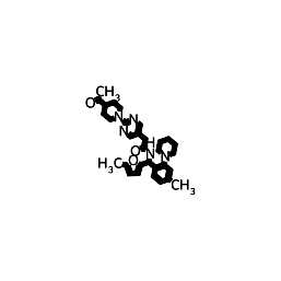 CC(=O)C1CCN(c2ncc(CC(=O)NC(c3ccc(C)o3)c3ccc(C)cc3N3CCCCC3)cn2)CC1